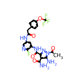 CC(=O)n1nc(C(=O)Nc2cc(NC(=O)Cc3ccc(OC(F)(F)F)cc3)cnc2F)c(C(N)=O)c1N